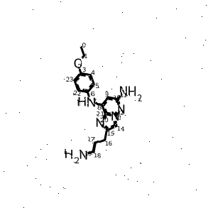 CCOc1ccc(Nc2cc(N)nn3cc(CCCN)nc23)cc1